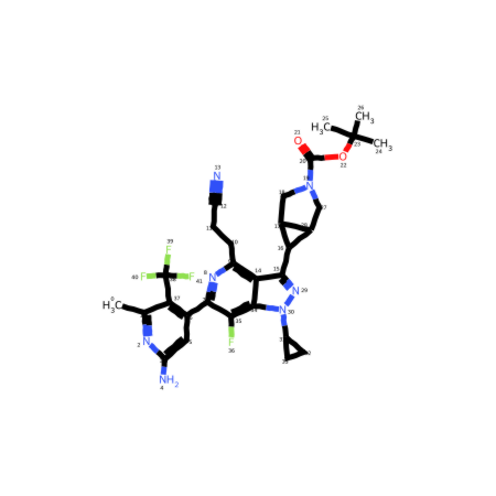 Cc1nc(N)cc(-c2nc(CCC#N)c3c(C4C5CN(C(=O)OC(C)(C)C)CC54)nn(C4CC4)c3c2F)c1C(F)(F)F